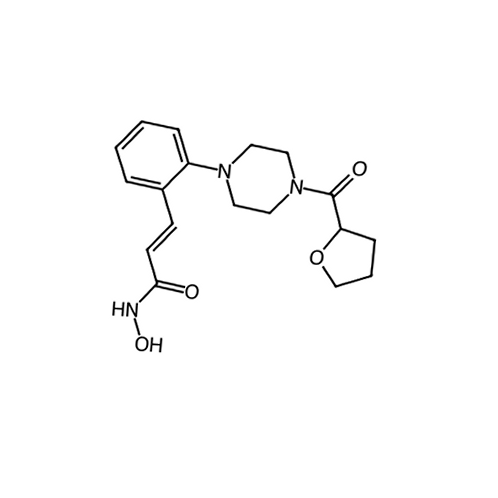 O=C(/C=C/c1ccccc1N1CCN(C(=O)C2CCCO2)CC1)NO